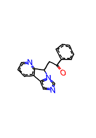 O=C(CC1c2ncccc2-c2cncn21)c1ccccc1